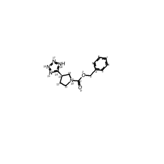 O=C(OCc1ccccc1)N1CC[C@@H](c2nnn[nH]2)C1